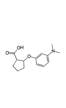 CN(C)c1cccc(OC2CCCC2C(=O)O)c1